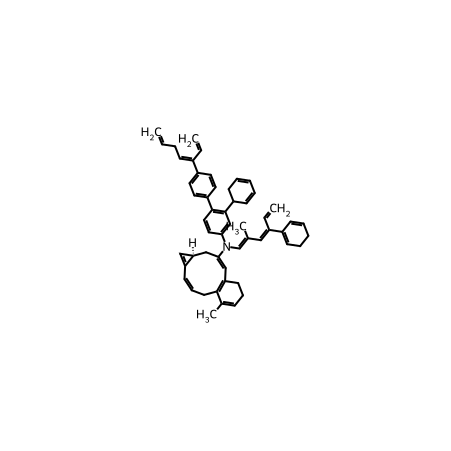 C=CC/C=C(\C=C)c1ccc(-c2ccc(N(/C=C(C)/C=C(\C=C)C3=CCCC=C3)/C3=C/C4=C(C/C=C\C5=C[C@H]5C3)C(C)=CCC4)cc2C2C=CC=CC2)cc1